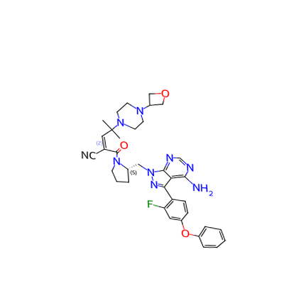 CC(C)(/C=C(/C#N)C(=O)N1CCC[C@H]1Cn1nc(-c2ccc(Oc3ccccc3)cc2F)c2c(N)ncnc21)N1CCN(C2COC2)CC1